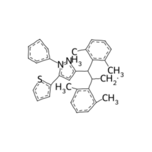 [CH2]C(c1c(C)cccc1C)C(c1cc(-c2cccs2)n(-c2ccccc2)n1)c1c(C)cccc1C